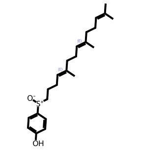 CC(C)=CCC/C(C)=C/CC/C(C)=C/CCC[S+]([O-])c1ccc(O)cc1